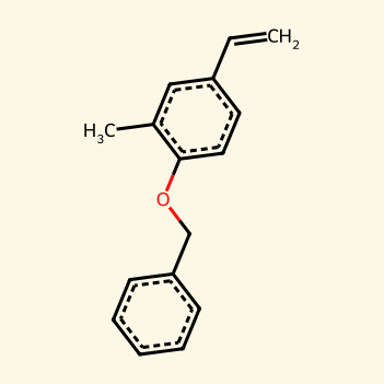 C=Cc1ccc(OCc2ccccc2)c(C)c1